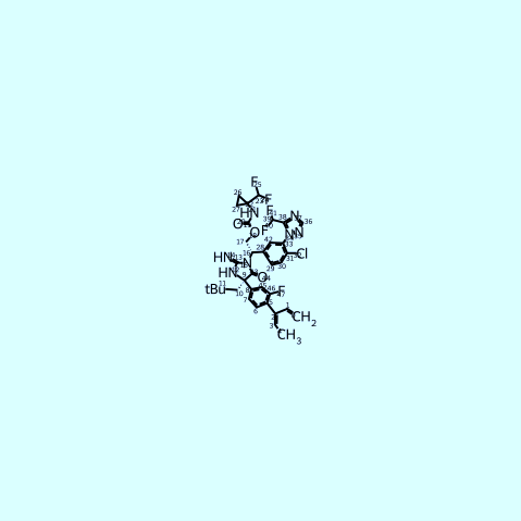 C=C/C(=C\C)c1ccc([C@@]2(CC(C)(C)C)NC(=N)N([C@H](COC(=O)NC3(C(F)F)CC3)c3ccc(Cl)c(-n4ncnc4C(F)F)c3)C2=O)cc1F